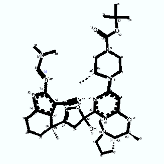 C[C@H](Oc1cc(N2CCN(C(=O)OC(C)(C)C)C[C@H]2C)nc(C2(O)CC([C@@]3(C)CCCc4sc(/N=C/N(C)C)c(C#N)c43)=NO2)n1)[C@@H]1CCCN1C